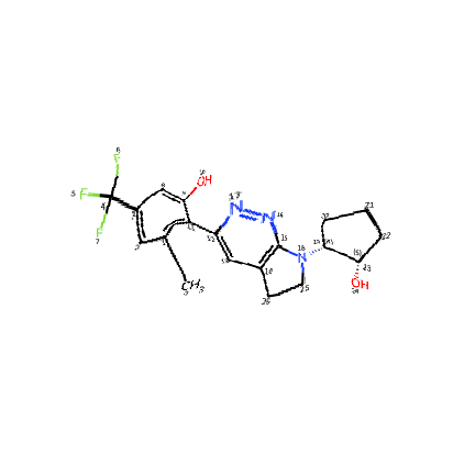 Cc1cc(C(F)(F)F)cc(O)c1-c1cc2c(nn1)N([C@@H]1CCC[C@@H]1O)CC2